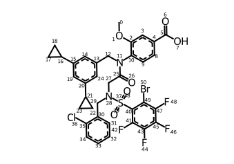 COc1cc(C(=O)O)ccc1N(Cc1cc(C2CC2)cc(C2CC2)c1)C(=O)CN(Cc1ccccc1Cl)S(=O)(=O)c1c(F)c(F)c(F)c(F)c1Br